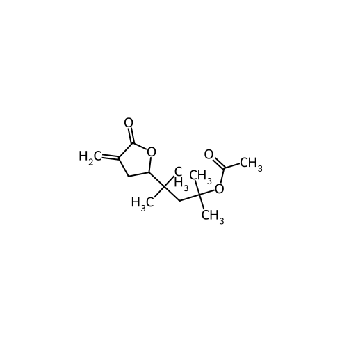 C=C1CC(C(C)(C)CC(C)(C)OC(C)=O)OC1=O